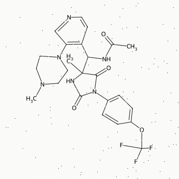 CC(=O)NC(c1ccncc1N1CCN(C)CC1)C1(C)NC(=O)N(c2ccc(OC(F)(F)F)cc2)C1=O